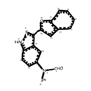 CC(C)N(C=O)c1ccc2[nH]nc(-c3cc4ccccc4o3)c2c1